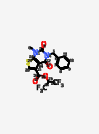 Cn1c(=O)n(Cc2ccccc2)c(=O)c2c(C(=O)OC(C(F)(F)F)C(F)(F)F)csc21